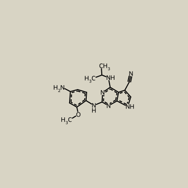 COc1cc(N)ccc1Nc1nc(NC(C)C)c2c(C#N)c[nH]c2n1